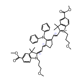 COCCCN1/C(=C/C=C2\CCC(/C=C/C3=[N+](CCCOC)c4ccc(C(=O)OC)cc4C3(C)C)=C2N(c2ccccc2)c2ccccc2)C(C)(C)c2cc(C(=O)OC)ccc21